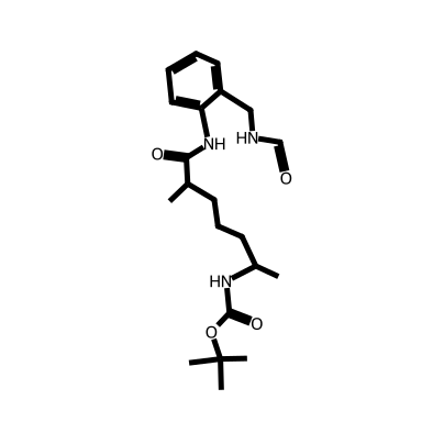 CC(CCCC(C)C(=O)Nc1ccccc1CNC=O)NC(=O)OC(C)(C)C